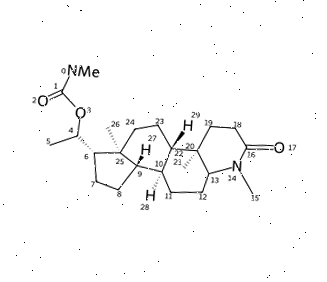 CNC(=O)OC(C)[C@H]1CC[C@H]2[C@@H]3CCC4N(C)C(=O)CC[C@]4(C)[C@H]3CC[C@]12C